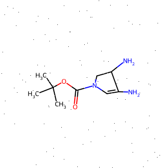 CC(C)(C)OC(=O)N1C=C(N)C(N)C1